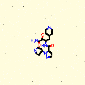 NC(=O)C(=O)C(Cc1ccncc1)NC(=O)c1ccnn1-c1ccncc1